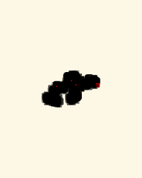 c1ccc2c(c1)oc1cc(C3=NC(c4cccc5oc6cc(-c7ccc8c(c7)sc7ccc(-n9c%10ccccc%10c%10ccccc%109)cc78)ccc6c45)NC(c4ccc5c(c4)oc4ccccc45)=N3)ccc12